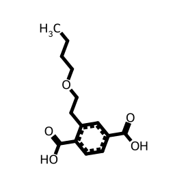 CCCCOCCc1cc(C(=O)O)ccc1C(=O)O